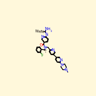 CN/C(N)=N\c1ccc(C(=O)N(Cc2ccc(-c3ccc(N4CCN(C)CC4)nc3)cn2)[C@H](C)c2ccccc2F)cn1